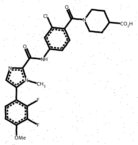 COc1ccc(-c2cnc(C(=O)Nc3ccc(C(=O)N4CCC(C(=O)O)CC4)c(Cl)c3)n2C)c(F)c1F